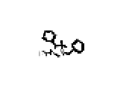 CC(C)N1CN(Cc2ccccc2)C(C)(C)C1c1ccccc1